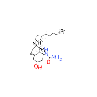 CC(C)CCC[C@@H](C)[C@H]1CC[C@H]2[C@@H]3CC=C4C[C@@H](O)CC(NC(N)=O)[C@]4(C)[C@H]3CC[C@]12C